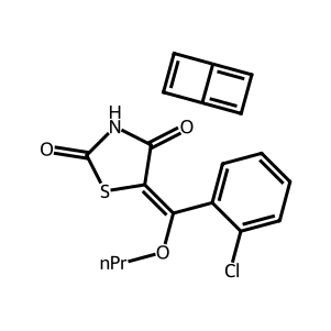 CCCOC(=C1SC(=O)NC1=O)c1ccccc1Cl.c1cc2ccc1-2